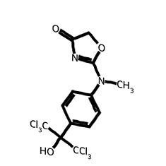 CN(C1=NC(=O)CO1)c1ccc(C(O)(C(Cl)(Cl)Cl)C(Cl)(Cl)Cl)cc1